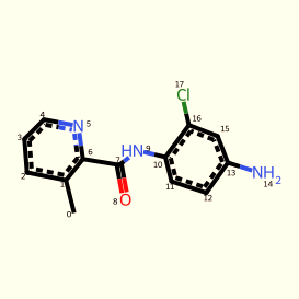 Cc1cccnc1C(=O)Nc1ccc(N)cc1Cl